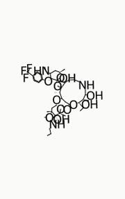 CCCNC[C@]1(O)[C@H](C)O[C@@H](O[C@H]2[C@H](C)[C@@H](O[C@@H]3O[C@H](C)C[C@H](NC)[C@H]3Oc3ccc(C(F)(F)F)cc3)[C@](C)(O)C[C@@H](C)CN[C@H](C)[C@@H](O)[C@](C)(O)[C@@H](CC)OC(=O)[C@@H]2C)C[C@@]1(C)OC